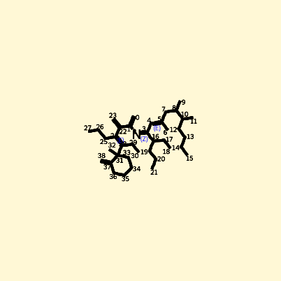 C=C(/N=C(\C=C(/C)CC(C)C(C)CCCC)C(CC)CCC)C(=C)/C(CCC)=C(\CC)C1(C)CCCCC1=C